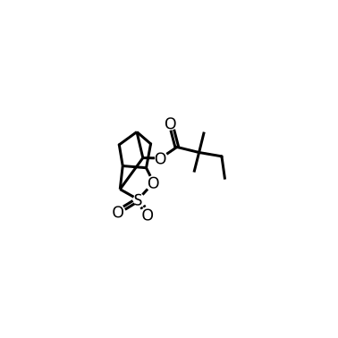 CCC(C)(C)C(=O)OC1C2CC3OS(=O)(=O)C1C3C2